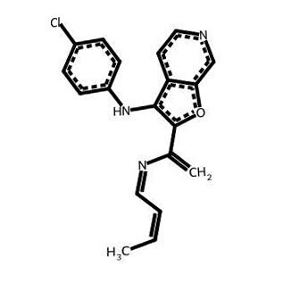 C=C(/N=C\C=C/C)c1oc2cnccc2c1Nc1ccc(Cl)cc1